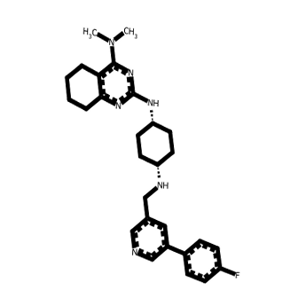 CN(C)c1nc(N[C@H]2CC[C@@H](NCc3cncc(-c4ccc(F)cc4)c3)CC2)nc2c1CCCC2